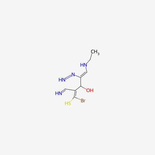 CCN/C=C(\N=N)C(O)/C(C=N)=C(/S)Br